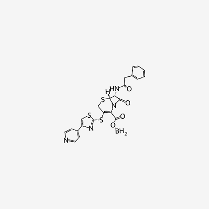 BOC(=O)C1=C(Sc2nc(-c3ccncc3)cs2)CS[C@@H]2[C@H](NC(=O)Cc3ccccc3)C(=O)N12